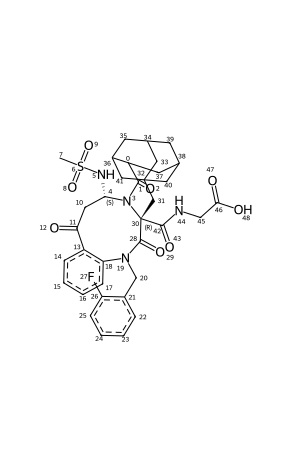 CC(=O)N1[C@@H](NS(C)(=O)=O)CC(=O)c2ccccc2N(Cc2ccccc2F)C(=O)[C@@]1(CC12CC3CC(CC(C3)C1)C2)C(=O)NCC(=O)O